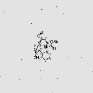 C/C=C(/C(=O)OC)c1ccccc1C1(c2nccc(OCC)n2)ON1C